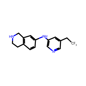 FC(F)(F)Cc1cncc(Nc2ccc3c(c2)CNCC3)c1